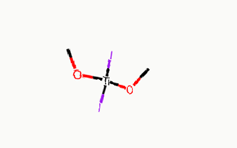 C[O][Ti]([I])([I])[O]C